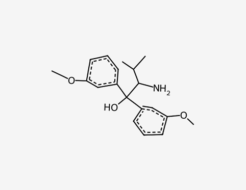 COc1cccc(C(O)(c2cccc(OC)c2)C(N)C(C)C)c1